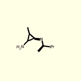 C=C(/N=C1/C(C)C1N)C(C)C